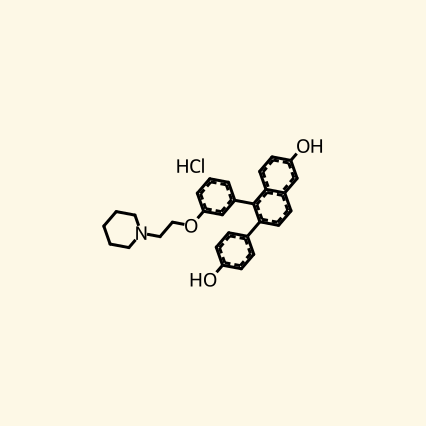 Cl.Oc1ccc(-c2ccc3cc(O)ccc3c2-c2cccc(OCCN3CCCCC3)c2)cc1